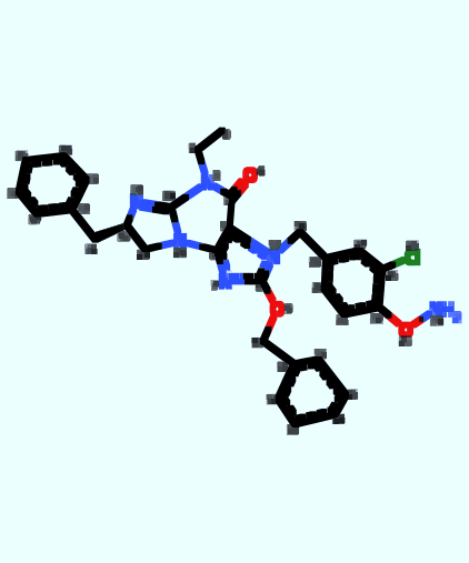 CCN1C(=O)c2c(nc(OCc3ccccc3)n2Cc2ccc(ON)c(Cl)c2)N2C[C@@H](Cc3ccccc3)N=C12